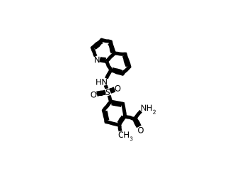 Cc1ccc(S(=O)(=O)Nc2cccc3cccnc23)cc1C(N)=O